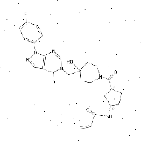 C=CC(=O)N[C@H]1CC[C@@H](C(=O)N2CCC(O)(Cn3cnc4c(cnn4-c4ccc(F)cc4)c3=O)CC2)C1